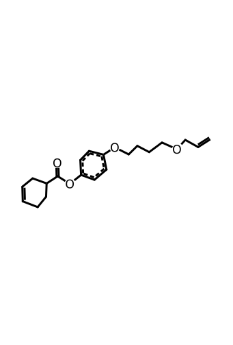 C=CCOCCCCOc1ccc(OC(=O)C2CC=CCC2)cc1